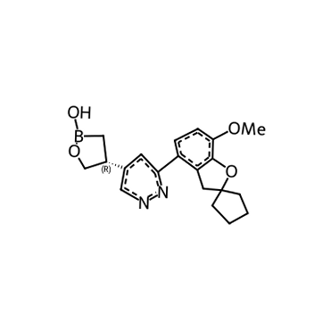 COc1ccc(-c2cc([C@@H]3COB(O)C3)cnn2)c2c1OC1(CCCC1)C2